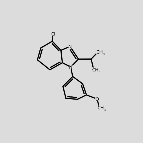 COc1cccc(-n2c(C(C)C)nc3c(Cl)cccc32)c1